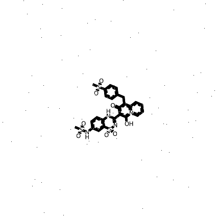 CS(=O)(=O)Nc1ccc2c(c1)S(=O)(=O)N=C(c1c(O)n3ccccc3c(Cc3ccc(S(C)(=O)=O)cc3)c1=O)N2